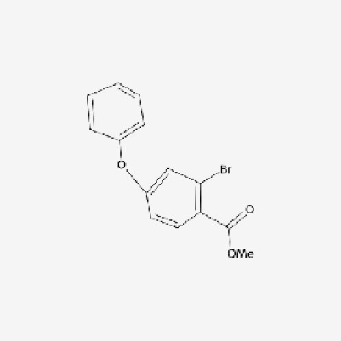 COC(=O)c1ccc(Oc2ccccc2)cc1Br